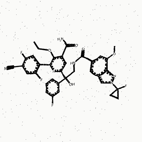 CCOc1c(C(N)=O)cc(C(O)(CNC(=O)c2cc(OC)c3nn(C4(F)CC4)cc3c2)c2cccc(F)c2)nc1-c1cc(F)c(C#N)cc1F